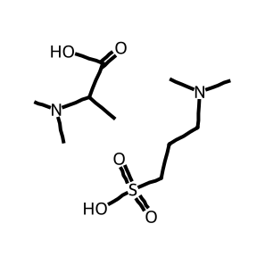 CC(C(=O)O)N(C)C.CN(C)CCCS(=O)(=O)O